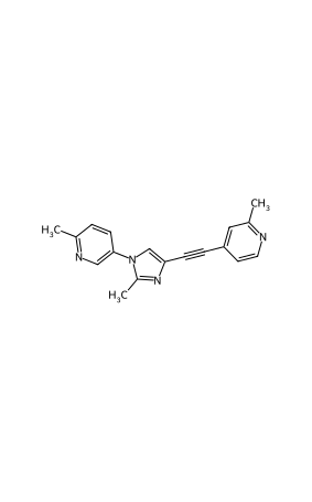 Cc1ccc(-n2cc(C#Cc3ccnc(C)c3)nc2C)cn1